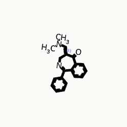 CN(C)/C=C1\CN=C(c2ccccc2)c2ccccc2C1=O